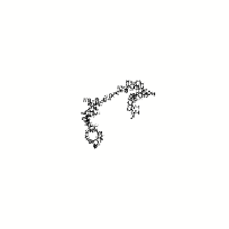 CCCNC(=O)Nc1cccc(S(=O)(=O)Nc2cccc([C@@H](CC(=O)O)NC(=O)Nc3ccc(NC(=O)NCCOCCOCCOCCC(=O)N[C@@H](CC(=O)O)C(=O)N4CCC[C@H]4C(=O)N[C@H](C(=O)N=[S@@](C)(=O)Cc4cc5nc(c4)OCCCOc4cc(F)ccc4-c4cc(ncc4F)N5)C(C)C)cc3)c2)c1